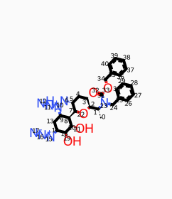 C[C@H]([C@@H]1CC[C@@H](N)C([C@@H]2C(N=[N+]=[N-])CC(N=[N+]=[N-])[C@H](O)[C@H]2O)O1)N(Cc1ccccc1)C(=O)OCc1ccccc1